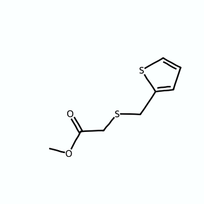 COC(=O)CSCc1cccs1